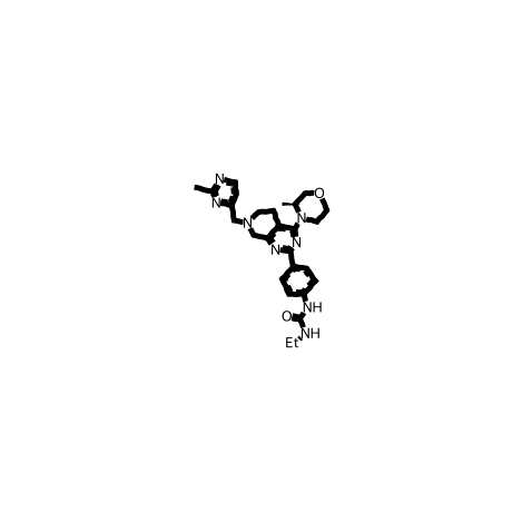 CCNC(=O)Nc1ccc(-c2nc3c(c(N4CCOC[C@@H]4C)n2)CCN(Cc2ccnc(C)n2)C3)cc1